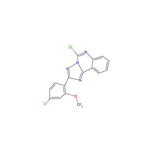 FC(F)(F)Oc1cc(Cl)ccc1-c1nc2c3ccccc3nc(Cl)n2n1